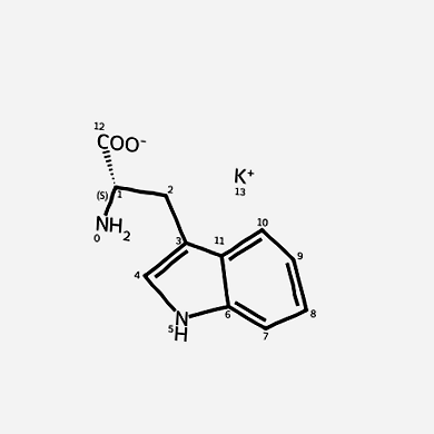 N[C@@H](Cc1c[nH]c2ccccc12)C(=O)[O-].[K+]